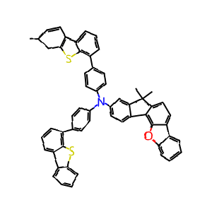 CC1C=Cc2c(sc3c(-c4ccc(N(c5ccc(-c6cccc7c6sc6ccccc67)cc5)c5ccc6c(c5)C(C)(C)c5ccc7c(oc8ccccc87)c5-6)cc4)cccc23)C1